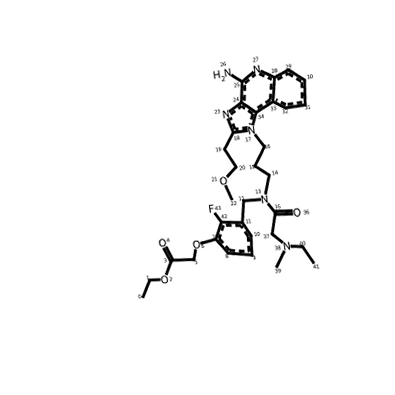 CCOC(=O)COc1cccc(CN(CCCn2c(CCOC)nc3c(N)nc4ccccc4c32)C(=O)CN(C)CC)c1F